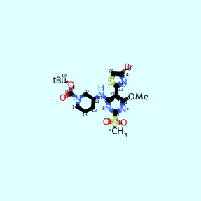 COc1nc(S(C)(=O)=O)nc(NC2CCCN(C(=O)OC(C)(C)C)C2)c1-c1nc(Br)cs1